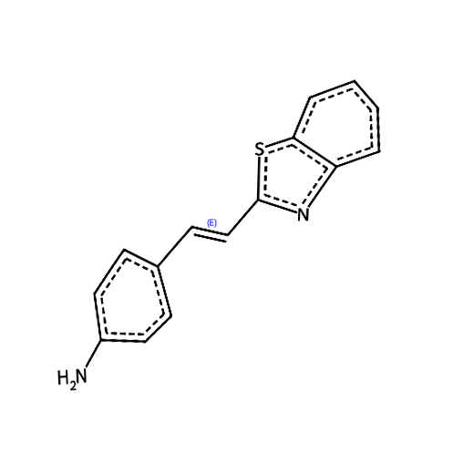 Nc1ccc(/C=C/c2nc3ccccc3s2)cc1